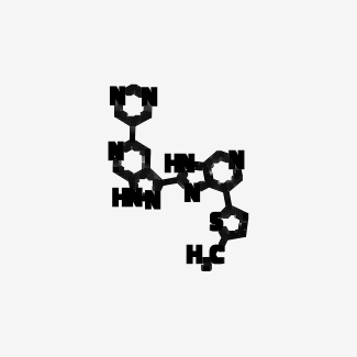 Cc1ccc(-c2cncc3[nH]c(-c4n[nH]c5cnc(-c6cncnc6)cc45)nc23)s1